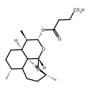 C[C@H]1[C@H](OC(=O)CCC(=O)O)O[C@@H]2O[C@]3(C)CCC4[C@H](C)CC[C@@H]1[C@]42OO3